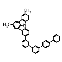 Cc1ccc2c(c1)c1cc(C)cc3c4cc(-c5cccc(-c6cccc(-c7ccc(-c8ccccc8)cc7)c6)c5)ccc4n2c13